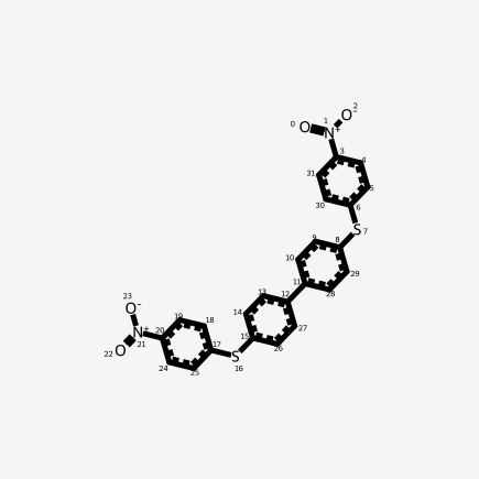 O=[N+]([O-])c1ccc(Sc2ccc(-c3ccc(Sc4ccc([N+](=O)[O-])cc4)cc3)cc2)cc1